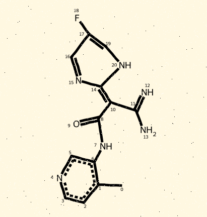 Cc1ccncc1NC(=O)/C(C(=N)N)=C1\N=CC(F)=CN1